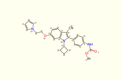 CC(C)OC(=O)Nc1ccc(-c2c(C#N)c3ccc(OCCn4cccc4)cc3n2C2CCC2)cc1